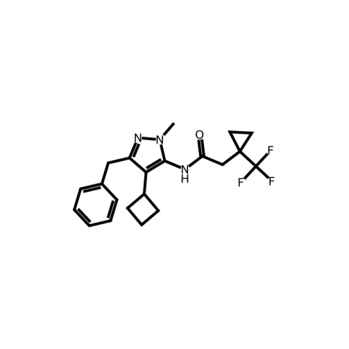 Cn1nc(Cc2ccccc2)c(C2CCC2)c1NC(=O)CC1(C(F)(F)F)CC1